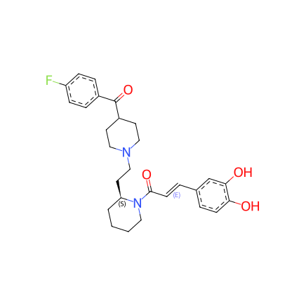 O=C(c1ccc(F)cc1)C1CCN(CC[C@@H]2CCCCN2C(=O)/C=C/c2ccc(O)c(O)c2)CC1